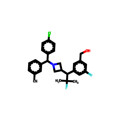 CC(C)(F)C(c1cc(F)cc(CO)c1)C1CN(C(c2ccc(Cl)cc2)c2cccc(C#N)c2)C1